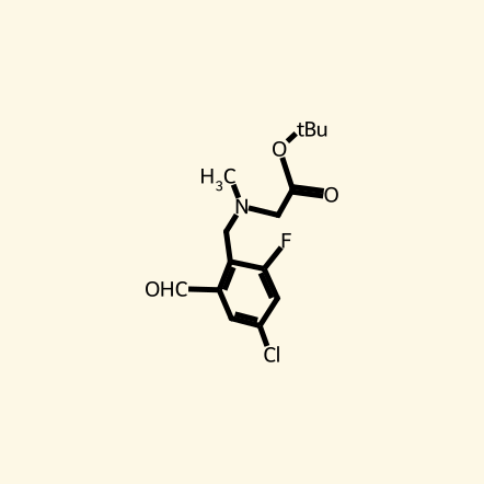 CN(CC(=O)OC(C)(C)C)Cc1c(F)cc(Cl)cc1C=O